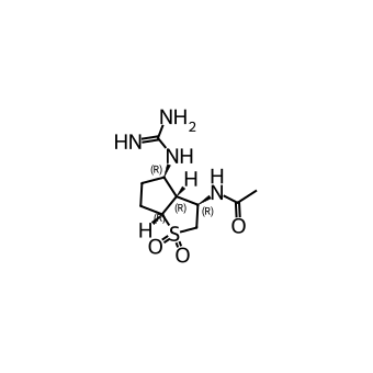 CC(=O)N[C@H]1CS(=O)(=O)[C@@H]2CC[C@@H](NC(=N)N)[C@H]12